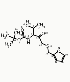 CC(C)[C@H](NC(=O)OC(C)(C)C)C(=O)CSCc1ccco1